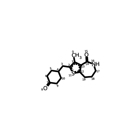 Cc1c(CC2CCC(=O)CC2)sc2c1C(=O)NCCC2